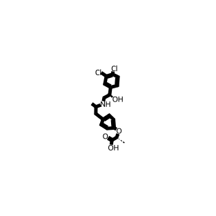 CC(Cc1ccc(O[C@H](C)C(=O)O)cc1)NC[C@H](O)c1ccc(Cl)c(Cl)c1